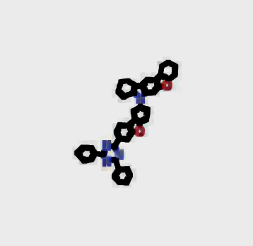 C1=Cc2oc3cc4c(cc3c2CC1)c1c(n4-c2ccc3oc4cc(-c5nc(-c6ccccc6)nc(-c6ccccc6)n5)ccc4c3c2)C=CCC1